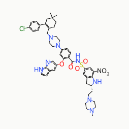 CN1CCN(CC[C@@H]2Cc3cc(S(=O)(=O)NC(=O)c4ccc(N5CCN(CC6=C(c7ccc(Cl)cc7)CC(C)(C)CC6)CC5)cc4Oc4cnc5[nH]ccc5c4)cc([N+](=O)[O-])c3N2)CC1